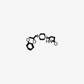 O=C1CCC(N2CCN(CC3COc4ccccc4O3)CC2)N1